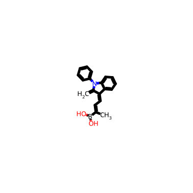 C=c1/c(=C\C=C(/C)B(O)O)c2ccccc2n1-c1ccccc1